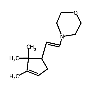 CC1=CCC(C=CN2CCOCC2)C1(C)C